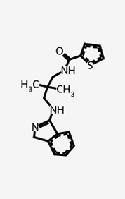 CC(C)(CNC(=O)c1cccs1)CNC1=NCc2ccccc21